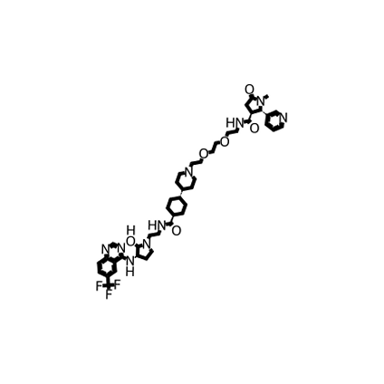 CN1C(=O)C[C@H](C(=O)NCCOCCOCCN2CCC([C@H]3CC[C@H](C(=O)NCCN4CC[C@H](Nc5ncnc6ccc(C(F)(F)F)cc56)C4O)CC3)CC2)[C@H]1c1cccnc1